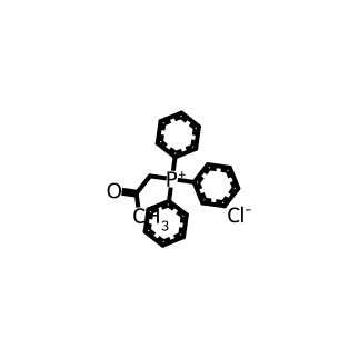 CC(=O)C[P+](c1ccccc1)(c1ccccc1)c1ccccc1.[Cl-]